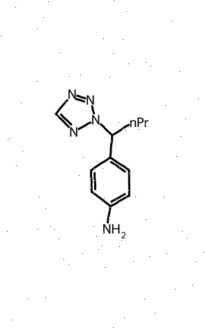 CCCC(c1ccc(N)cc1)n1ncnn1